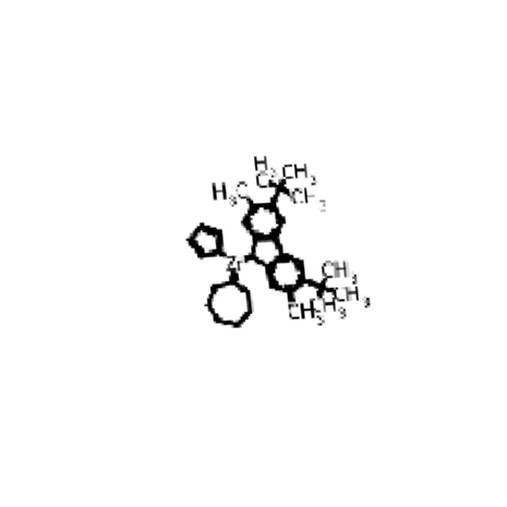 Cc1cc2c(cc1C(C)(C)C)-c1cc(C(C)(C)C)c(C)cc1[CH]2[Zr](=[C]1CCCCCC1)[CH]1C=CC=C1